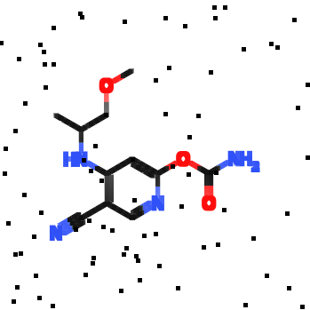 COCC(C)Nc1cc(OC(N)=O)ncc1C#N